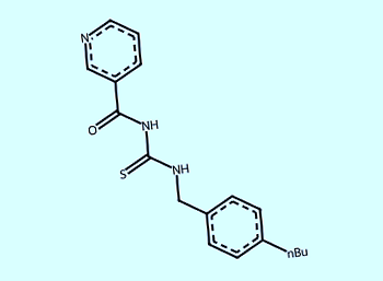 CCCCc1ccc(CNC(=S)NC(=O)c2cccnc2)cc1